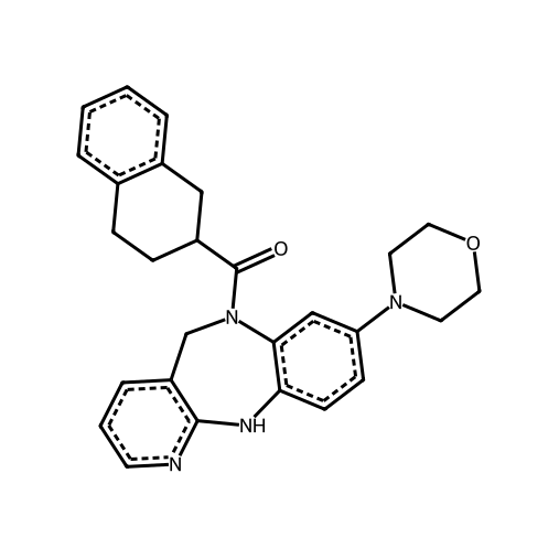 O=C(C1CCc2ccccc2C1)N1Cc2cccnc2Nc2ccc(N3CCOCC3)cc21